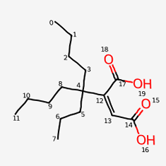 CCCCC(CCC)(CCCC)C(=CC(=O)O)C(=O)O